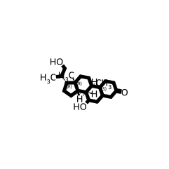 CC(CO)[C@H]1CC[C@H]2[C@@H]3C(O)CC4CC(=O)CC[C@]4(C)[C@H]3CC[C@]12C